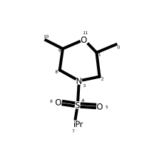 CC1CN(S(=O)(=O)C(C)C)CC(C)O1